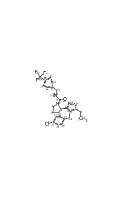 CCc1nnc([C@H]2CCCN2C(=O)NCc2ccc(C(F)(F)F)cc2)n1Cc1ccc(Cl)cc1